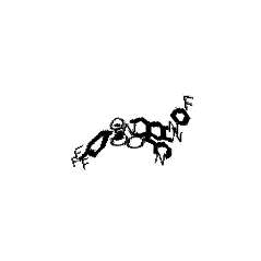 O=C(c1cccnc1)C12Cc3cnn(-c4ccc(F)cc4)c3C=C1CCN(S(=O)(=O)c1ccc(C(F)(F)F)cc1)C2